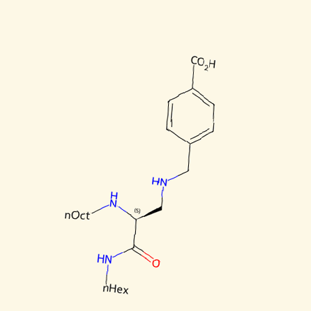 CCCCCCCCN[C@@H](CNCc1ccc(C(=O)O)cc1)C(=O)NCCCCCC